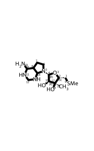 CSC[C@H]1O[C@@H](N2CCC3C(N)NCNC32)[C@H](O)[C@]1(C)O